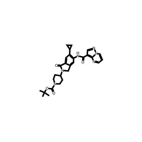 CC(C)(C)OC(=O)N1CCC(N2Cc3cc(NC(=O)c4cnn5cccnc45)c(C4CC4)cc3C2=O)CC1